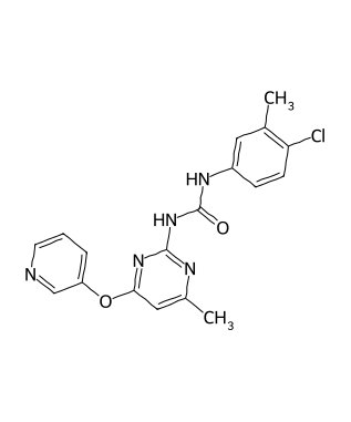 Cc1cc(Oc2cccnc2)nc(NC(=O)Nc2ccc(Cl)c(C)c2)n1